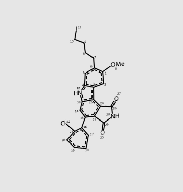 COc1cc2c(cc1CCCCI)[nH]c1cc(-c3ccccc3Cl)c3c(c12)C(=O)NC3=O